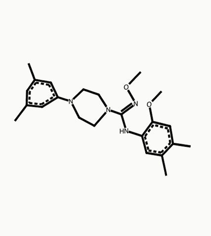 CON=C(Nc1cc(C)c(C)cc1OC)N1CCN(c2cc(C)cc(C)c2)CC1